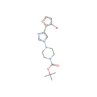 CC(C)(C)OC(=O)N1CCN(n2cnc(-c3occc3Br)c2)CC1